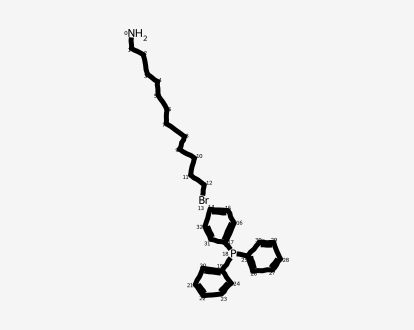 NCCCCCCCCCCCCBr.c1ccc(P(c2ccccc2)c2ccccc2)cc1